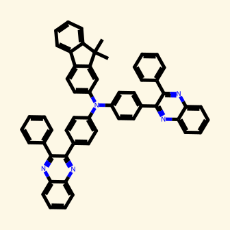 CC1(C)c2ccccc2-c2ccc(N(c3ccc(-c4nc5ccccc5nc4-c4ccccc4)cc3)c3ccc(-c4nc5ccccc5nc4-c4ccccc4)cc3)cc21